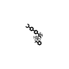 CCC(CC)c1ccc(-c2ccc(-c3snc(C)c3NC(=O)O[C@H](C)c3ccccc3)cc2)cc1